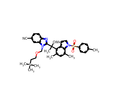 COC(C)(c1c(C)cc(C)c2c1ccn2S(=O)(=O)c1ccc(C)cc1)c1nc2ccc(C#N)cc2n1COCC[Si](C)(C)C